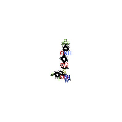 CC(SC1COC(c2ccc(C(=O)Nc3ccc(C(F)(F)F)cc3)cc2)OC1)C(O)(Cn1cncn1)c1ccc(F)cc1F